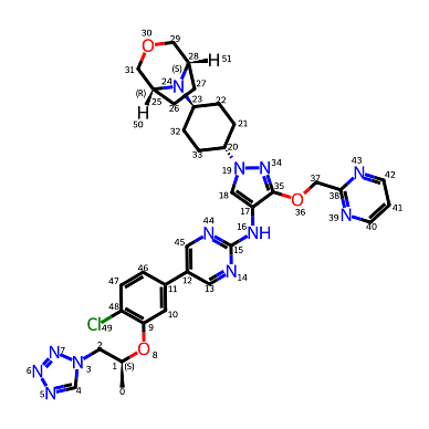 C[C@@H](Cn1cnnn1)Oc1cc(-c2cnc(Nc3cn([C@H]4CC[C@H](N5[C@@H]6CC[C@H]5COC6)CC4)nc3OCc3ncccn3)nc2)ccc1Cl